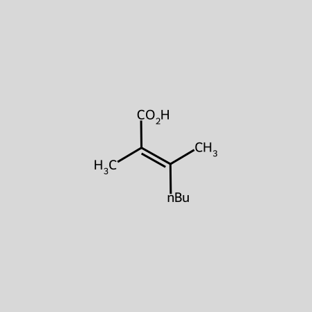 [CH2]CCCC(C)=C(C)C(=O)O